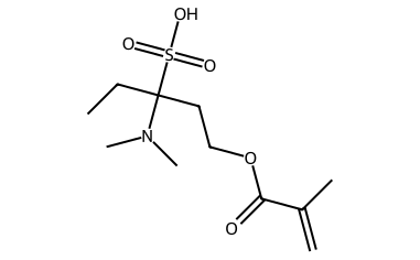 C=C(C)C(=O)OCCC(CC)(N(C)C)S(=O)(=O)O